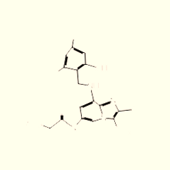 CC(=O)OCC(=O)Nc1cc(NCc2c(C)cc(F)cc2C)c2nc(C)c(C)n2c1